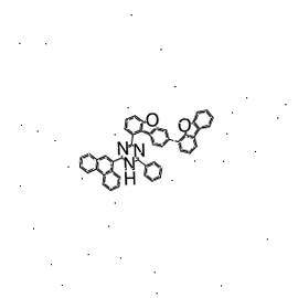 c1ccc(C2=NC(c3cccc4oc5cc(-c6cccc7c6oc6ccccc67)ccc5c34)=NC(c3cc4ccccc4c4ccccc34)N2)cc1